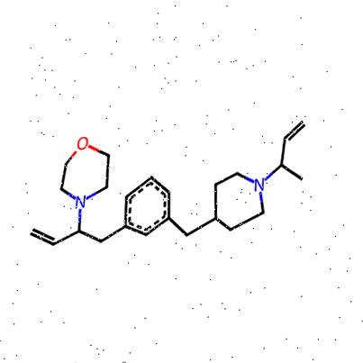 C=CC(C)N1CCC(Cc2cccc(CC(C=C)N3CCOCC3)c2)CC1